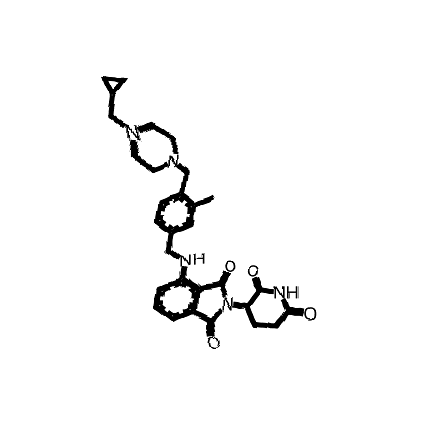 Cc1cc(CNc2cccc3c2C(=O)N(C2CCC(=O)NC2=O)C3=O)ccc1CN1CCN(CC2CC2)CC1